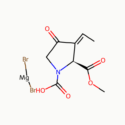 C/C=C1/C(=O)CN(C(=O)O)[C@@H]1C(=O)OC.[Br][Mg][Br]